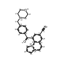 N#Cc1cc(C(=O)c2ccc(CN3CCOCC3)cc2)c2c(ccc3cccn32)c1